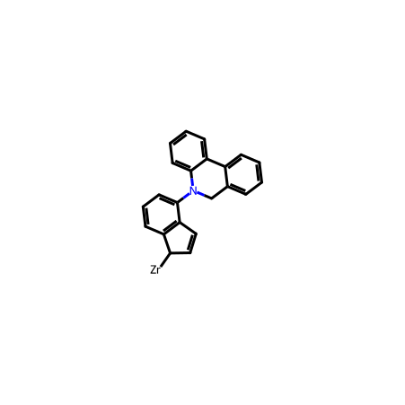 [Zr][CH]1C=Cc2c1cccc2N1Cc2ccccc2-c2ccccc21